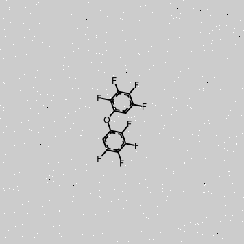 Fc1cc(Oc2cc(F)c(F)c(F)c2F)c(F)c(F)c1F